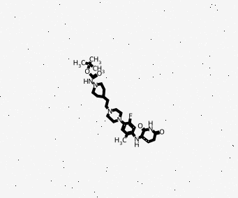 Cc1cc(N2CCN(CCC3CCN(NC(=O)OC(C)(C)C)CC3)CC2)c(F)cc1NC1CCC(=O)NC1=O